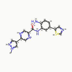 Cn1cc(-c2cnc(C(=O)Nc3cc(-c4cncs4)ccc3N)cn2)cn1